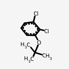 CC(C)(C)Oc1cccc(Cl)c1Cl